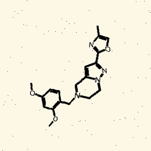 COc1ccc(CN2CCn3nc(-c4nc(C)co4)cc3C2)c(OC)c1